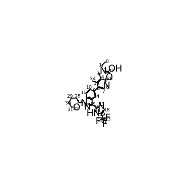 CCN(Cc1cncc(-c2ccc3c(c2)c(-c2ncc(C(F)(F)F)[nH]2)nn3C2CCCCO2)c1C)C(=O)O